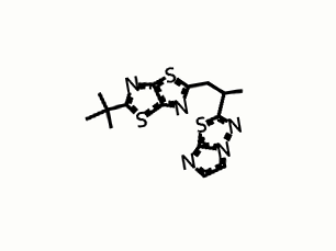 CC(Cc1nc2sc(C(C)(C)C)nc2s1)c1nn2ccnc2s1